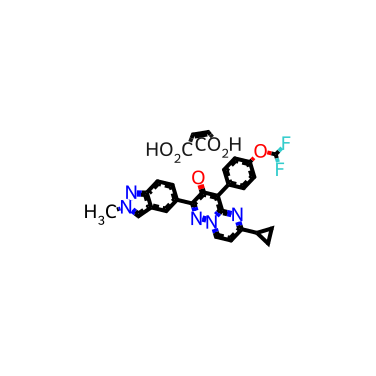 Cn1cc2cc(-c3nn4ccc(C5CC5)nc4c(-c4ccc(OC(F)F)cc4)c3=O)ccc2n1.O=C(O)/C=C\C(=O)O